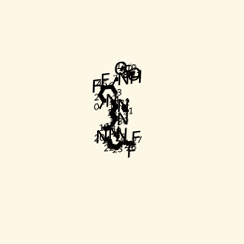 C[C@H]1CC(F)(F)[C@@H](CNS(C)(=O)=O)CN1c1cc(-c2cnc3ccc(C(F)F)nn23)ncn1